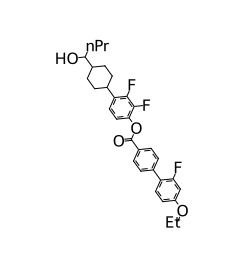 CCCC(O)C1CCC(c2ccc(OC(=O)c3ccc(-c4ccc(OCC)cc4F)cc3)c(F)c2F)CC1